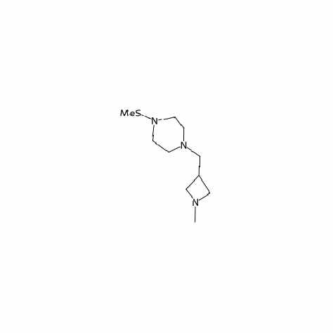 CSN1CCN(CC2CN(C)C2)CC1